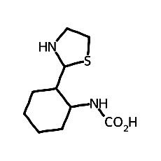 O=C(O)NC1CCCCC1C1NCCS1